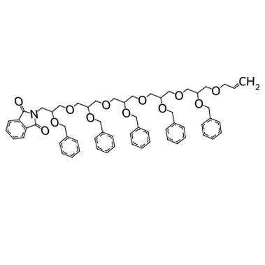 C=CCOCC(COCC(COCC(COCC(COCC(CN1C(=O)c2ccccc2C1=O)OCc1ccccc1)OCc1ccccc1)OCc1ccccc1)OCc1ccccc1)OCc1ccccc1